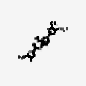 Cc1nc(N2C[C@@H]3C(NC(=O)c4cc(Cl)c(C)[nH]4)[C@@H]3C2)sc1C(=O)O.[LiH]